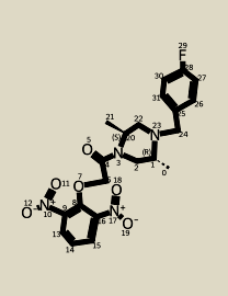 C[C@@H]1CN(C(=O)COc2c([N+](=O)[O-])cccc2[N+](=O)[O-])[C@@H](C)CN1Cc1ccc(F)cc1